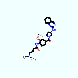 COc1cc(C(=O)N2CC[C@H](Nc3ncc4ccccc4n3)C2)ccc1NC(=O)/C=C/CN(C)C